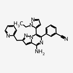 CCn1nccc1-c1c(-c2cccc(C#N)c2)nc(N)c2cc(Cc3ccccn3)nn12